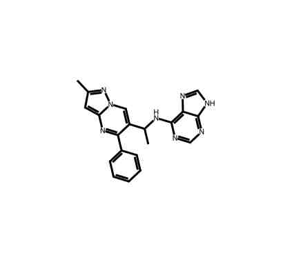 Cc1cc2nc(-c3ccccc3)c(C(C)Nc3ncnc4[nH]cnc34)cn2n1